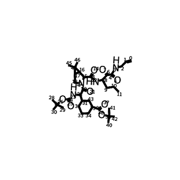 C=CCNC(=O)C(=O)C(CCC)NC(=O)C1C2C(CN1C(=O)C(NC(=O)OC(C)(C)C)C1CCCC(C(=O)OC(C)(C)C)C1)C2(C)C